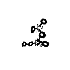 c1ccc(-c2ccc(-c3nc(-c4cccc(-c5nc(-c6ccccc6)nc(-c6ccccc6)n5)c4)c4c(n3)sc3ccccc34)cc2)cc1